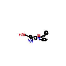 CNCc1cc(CCCO)ccc1[C@H]1CC[C@H](N(Cc2ccccc2)C(=O)CC=Cc2ccccc2)CC1